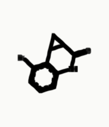 O=C1Nc2cccc(Br)c2C2CC12